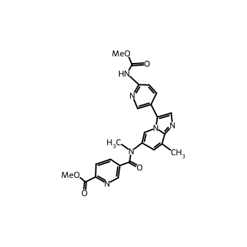 COC(=O)Nc1ccc(-c2cnc3c(C)cc(N(C)C(=O)c4ccc(C(=O)OC)nc4)cn23)cn1